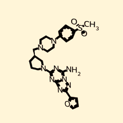 CS(=O)(=O)c1ccc(N2CCN(C[C@@H]3CCCN(c4nc(N)n5nc(-c6ccco6)nc5n4)C3)CC2)cc1